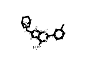 Cc1cccc(-c2nc(N)c3cc(CN4C5CCC4CC5)sc3n2)c1